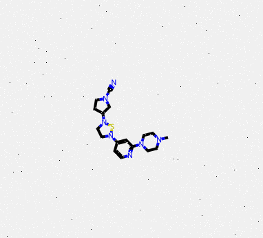 CN1CCN(c2cc(N3CCN(C4CCN(C#N)C4)S3)ccn2)CC1